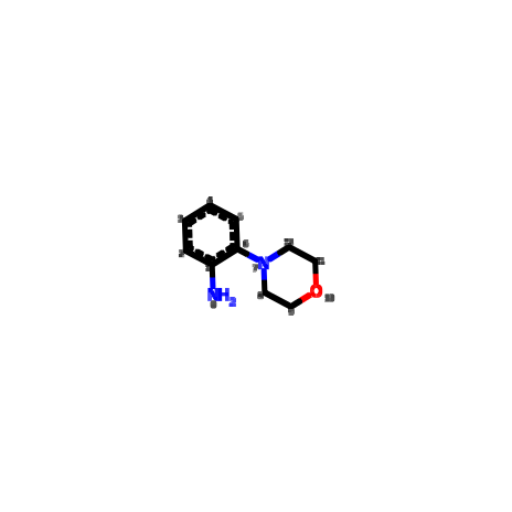 Nc1ccccc1N1CCOCC1